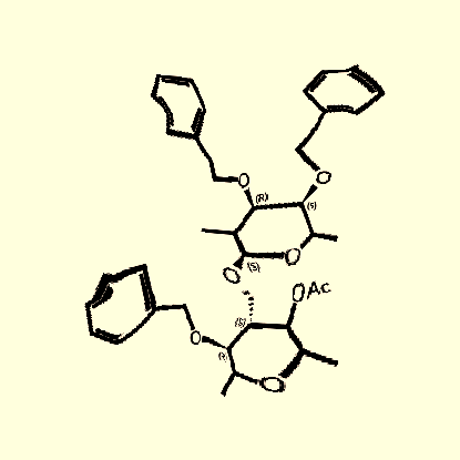 CC(=O)OC1C(C)OC(C)[C@@H](OCc2ccccc2)[C@@H]1O[C@@H]1OC(C)[C@H](OCc2ccccc2)[C@H](OCc2ccccc2)C1C